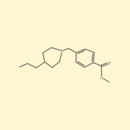 CCCC1CCN(Cc2ccc(C(=O)OC)cc2)CC1